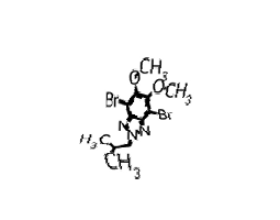 COc1c(OC)c(Br)c2nn(CC(C)C)nc2c1Br